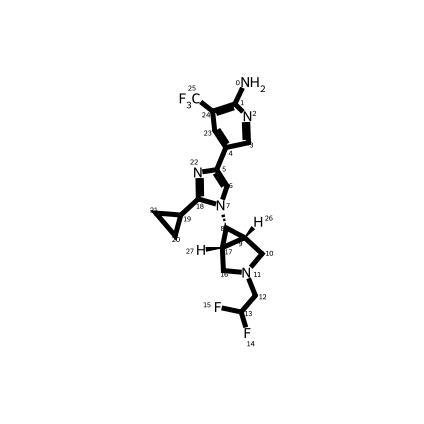 Nc1ncc(-c2cn([C@@H]3[C@@H]4CN(CC(F)F)C[C@@H]43)c(C3CC3)n2)cc1C(F)(F)F